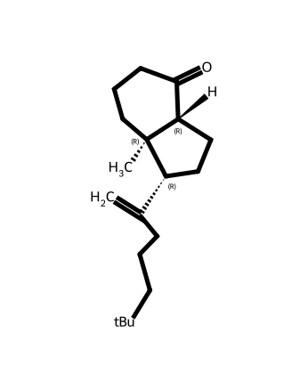 C=C(CCCC(C)(C)C)[C@H]1CC[C@H]2C(=O)CCC[C@]12C